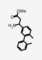 COC(=O)CC(N)c1ccc(C)c(-c2ccccc2C)c1